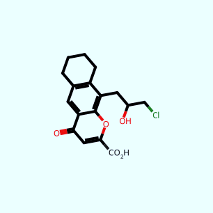 O=C(O)c1cc(=O)c2cc3c(c(CC(O)CCl)c2o1)CCCC3